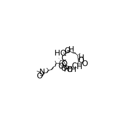 CO[C@@H](/C(C)=C/C=C/C(C)=C/c1coc(C)n1)[C@H](C)[C@H]1C[C@@H](O)[C@@]2(C)O[C@H]2/C=C/[C@@H](C)[C@@H]2C[C@@H](CC(=O)O2)C[C@H]2O[C@@H]2C(=O)O1